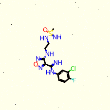 CS(=N)(=O)NCCNc1nonc1C(=N)Nc1ccc(F)c(Cl)c1